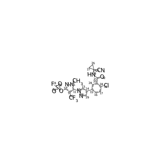 Cn1nc(OS(=O)(=O)F)c(C(F)(F)F)c1-n1cc(-c2ccc(Cl)c(C(=O)NC3(C#N)CC3)c2)cn1